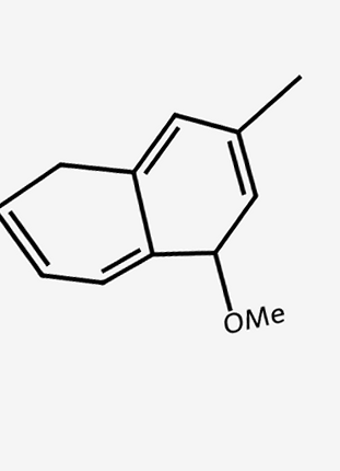 COC1C=C(C)C=C2CC=CC=C21